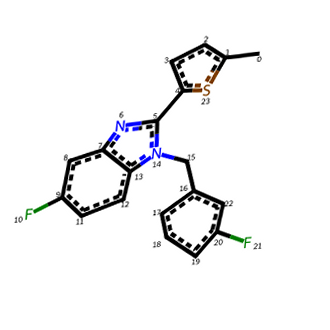 Cc1ccc(-c2nc3cc(F)ccc3n2Cc2cccc(F)c2)s1